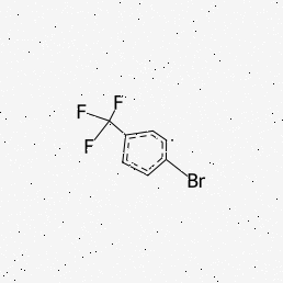 FC(F)(F)c1c[c]c(Br)cc1